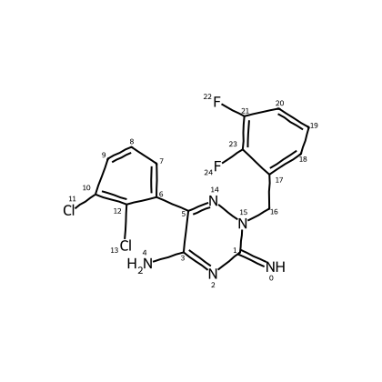 N=c1nc(N)c(-c2cccc(Cl)c2Cl)nn1Cc1cccc(F)c1F